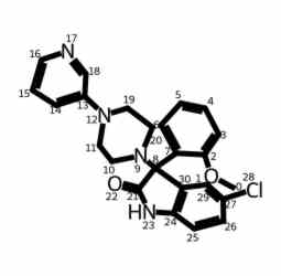 COc1ccccc1C1(N2CCN(c3cccnc3)CC2)C(=O)Nc2ccc(Cl)cc21